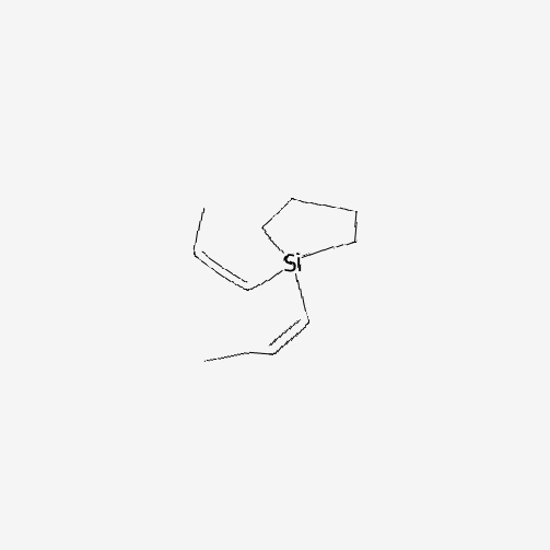 C/C=C\[Si]1(/C=C\C)CCCC1